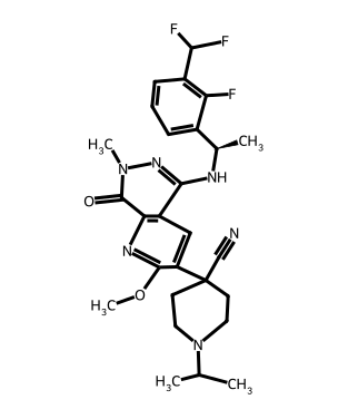 COc1nc2c(=O)n(C)nc(N[C@H](C)c3cccc(C(F)F)c3F)c2cc1C1(C#N)CCN(C(C)C)CC1